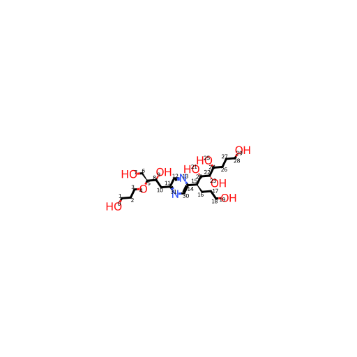 OCCCO[C@@H](CO)[C@@H](O)Cc1cnc([C@H](CCCO)[C@H](O)[C@@H](O)C(O)CCCO)cn1